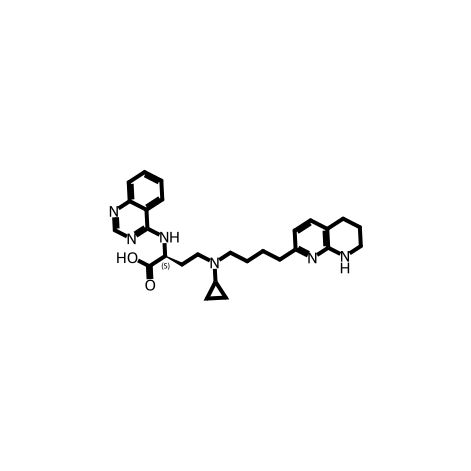 O=C(O)[C@H](CCN(CCCCc1ccc2c(n1)NCCC2)C1CC1)Nc1ncnc2ccccc12